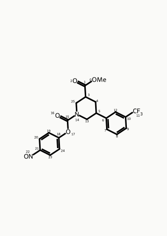 COC(=O)C1CC(c2cccc(C(F)(F)F)c2)CN(C(=O)Oc2ccc(N=O)cc2)C1